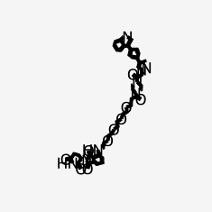 O=C1CCC(N2C(=O)c3cccc(NCCOCCOCCOCCOCCC(=O)N4CCN(C(=O)Cn5cc(-c6ccc(-c7cncc8ccccc78)cc6)cn5)CC4)c3C2=O)C(=O)N1